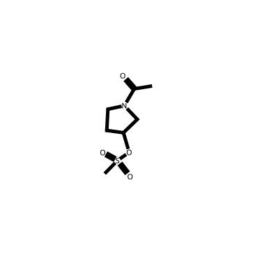 CC(=O)N1CCC(OS(C)(=O)=O)C1